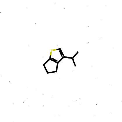 CC(C)c1csc2c1CCC2